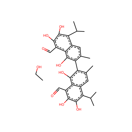 CCO.Cc1cc2c(C(C)C)c(O)c(O)c(C=O)c2c(O)c1-c1c(C)cc2c(C(C)C)c(O)c(O)c(C=O)c2c1O